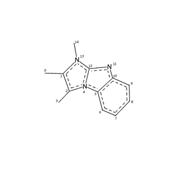 Cc1c(C)n2c3ccccc3nc2n1C